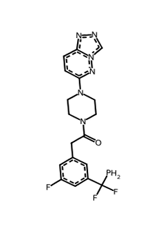 O=C(Cc1cc(F)cc(C(F)(F)P)c1)N1CCN(c2ccc3nncn3n2)CC1